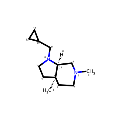 CN1CC[C@@]2(C)CCN(CC3CC3)[C@H]2C1